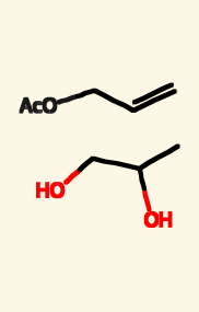 C=CCOC(C)=O.CC(O)CO